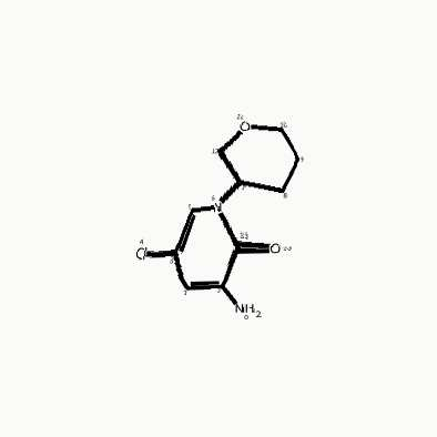 Nc1cc(Cl)cn(C2CCCOC2)c1=O